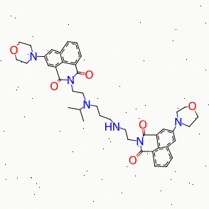 CC(C)N(CCCNCCN1C(=O)c2cccc3cc(N4CCOCC4)cc(c23)C1=O)CCN1C(=O)c2cccc3cc(N4CCOCC4)cc(c23)C1=O